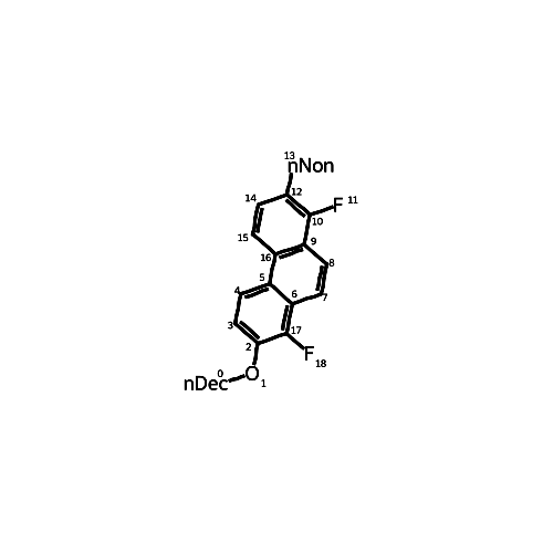 CCCCCCCCCCOc1ccc2c(ccc3c(F)c(CCCCCCCCC)ccc32)c1F